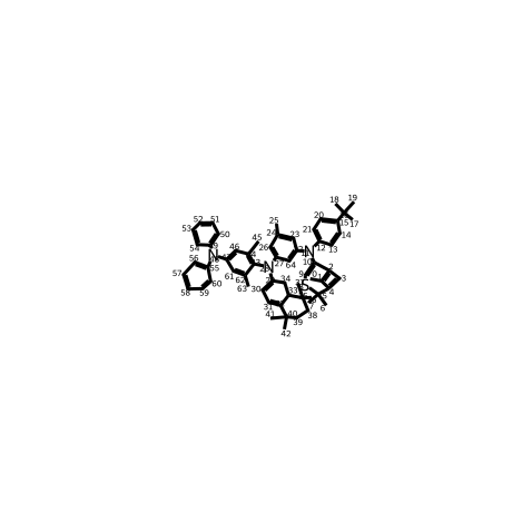 CC1=C2C=C1C(C)(C)SC=C2N(c1ccc(C(C)(C)C)cc1)c1cc(C)cc(N(C2=CC=C3C(C2)C(C)(C)CCC3(C)C)c2c(C)cc(N(c3ccccc3)c3ccccc3)cc2C)c1